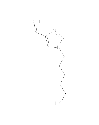 C=Cc1cn(CCCCCC)n[n+]1C